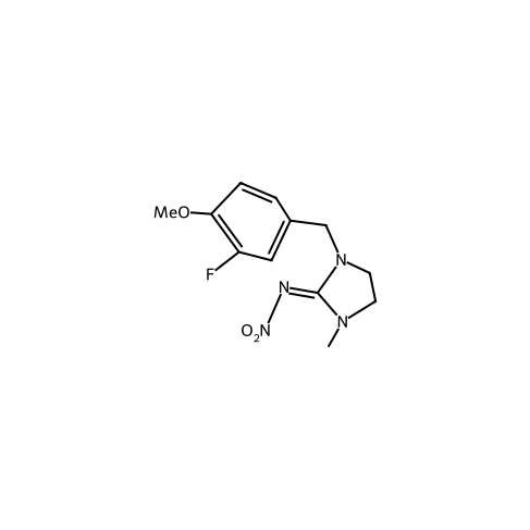 COc1ccc(CN2CCN(C)C2=N[N+](=O)[O-])cc1F